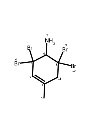 CC1=CC(Br)(Br)C(N)C(Br)(Br)C1